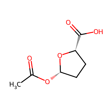 CC(=O)O[C@H]1CC[C@@H](C(=O)O)O1